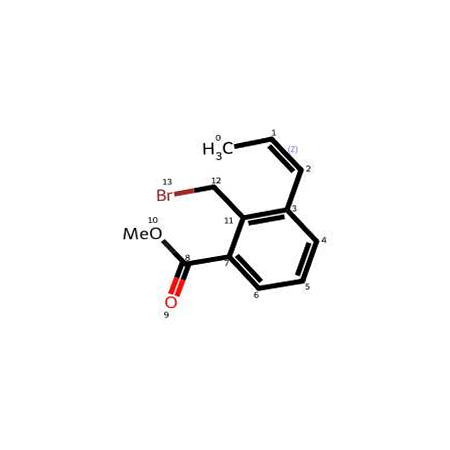 C/C=C\c1cccc(C(=O)OC)c1CBr